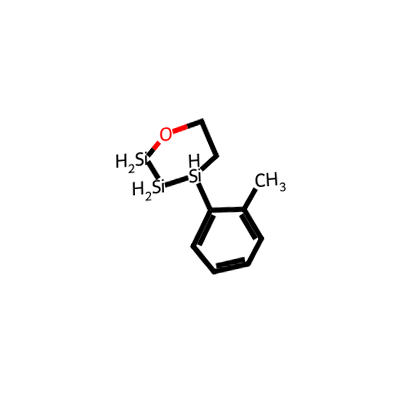 Cc1ccccc1[SiH]1CCO[SiH2][SiH2]1